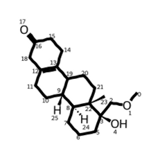 COC[C@]1(O)CCC[C@H]2[C@@H]3CCC4=C(CCC(=O)C4)C3CC[C@@]21C